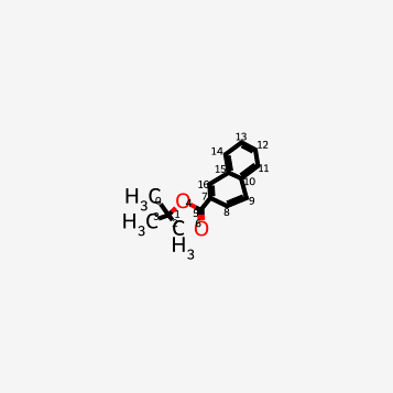 CC(C)(C)OC(=O)c1ccc2ccccc2c1